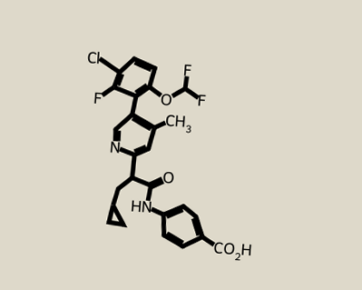 Cc1cc(C(CC2CC2)C(=O)Nc2ccc(C(=O)O)cc2)ncc1-c1c(OC(F)F)ccc(Cl)c1F